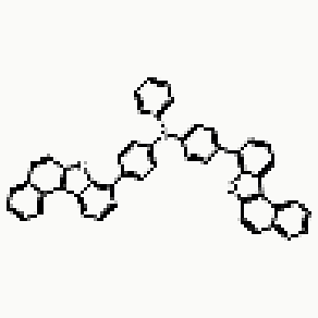 c1ccc(N(c2ccc(-c3cccc4c3oc3ccc5ccccc5c34)cc2)c2ccc(-c3cccc4c3oc3ccc5ccccc5c34)cc2)cc1